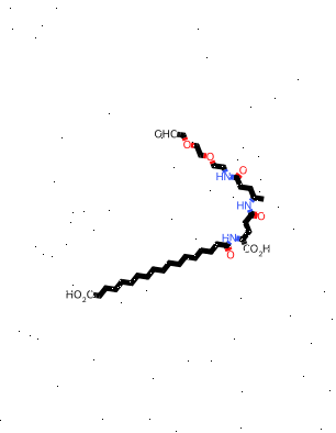 CC(CCC(=O)NCCOCCOCC=O)NC(=O)CCC(NC(=O)CCCCCCCCCCCCCCCCC(=O)O)C(=O)O